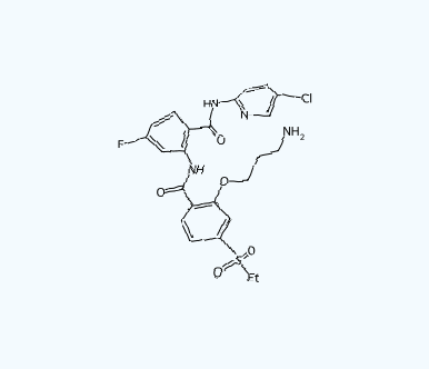 CCS(=O)(=O)c1ccc(C(=O)Nc2cc(F)ccc2C(=O)Nc2ccc(Cl)cn2)c(OCCCN)c1